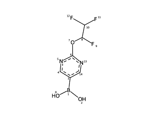 OB(O)c1cnc(OC(F)C(F)F)nc1